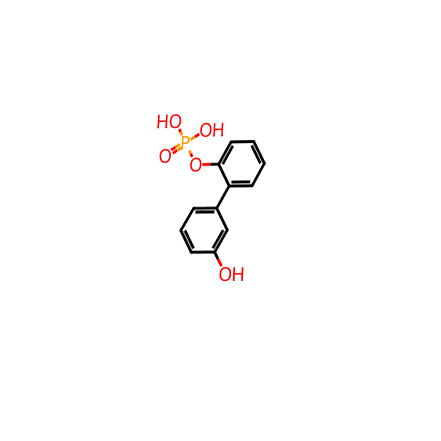 O=P(O)(O)Oc1ccccc1-c1cccc(O)c1